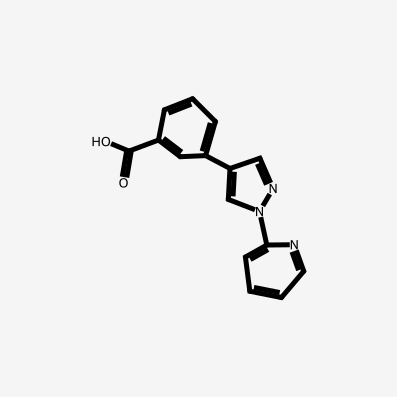 O=C(O)c1cccc(-c2cnn(-c3ccccn3)c2)c1